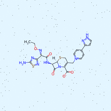 CCO/N=C(/C(=O)N[C@@H]1C(=O)N2C(C(=O)[O-])=C(C[n+]3ccc(-c4cc[nH]n4)cc3)CS[C@H]12)c1nsc(N)n1